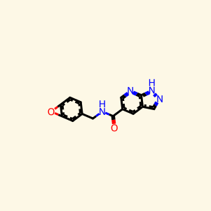 O=C(NCc1ccc2c(c1)O2)c1cnc2[nH]ncc2c1